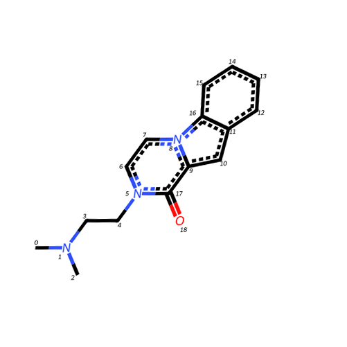 CN(C)CCn1ccn2c(cc3ccccc32)c1=O